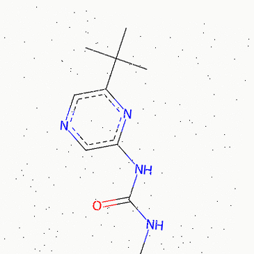 CNC(=O)Nc1cncc(C(C)(C)C)n1